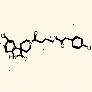 O=C(Cc1ccc(Cl)cc1)NCCCC(=O)N1CCC2(CC1)C(=O)Nc1ccc(Cl)cc12